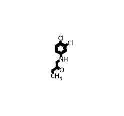 CCC(=O)CNc1ccc(Cl)c(Cl)c1